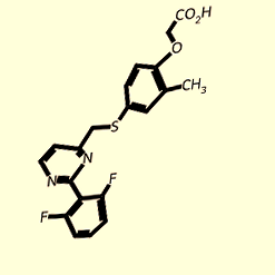 Cc1cc(SCc2ccnc(-c3c(F)cccc3F)n2)ccc1OCC(=O)O